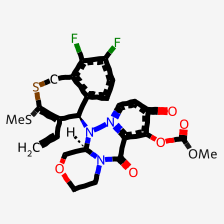 C=CC1=C(SC)SCc2c(ccc(F)c2F)[C@H]1N1[C@@H]2COCCN2C(=O)c2c(OC(=O)OC)c(=O)ccn21